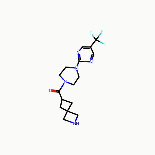 O=C(C1CC2(CNC2)C1)N1CCN(c2ncc(C(F)(F)F)cn2)CC1